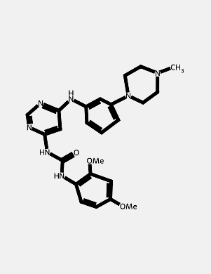 COc1ccc(NC(=O)Nc2cc(Nc3cccc(N4CCN(C)CC4)c3)ncn2)c(OC)c1